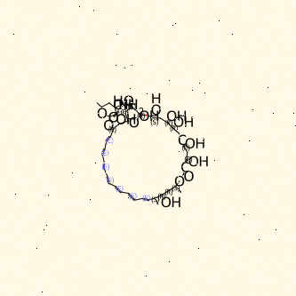 CC1CC(N)C(O)C(O[C@H]2/C=C/C=C/C=C/C=C/C=C/C=C/C=C/[C@H](C)[C@@H](O)[C@@H](C)[C@H](C)OC(=O)C[C@H](O)C[C@H](O)CC[C@@H](O)[C@H](O)C[C@H](O)C[C@]3(O)C[C@H](O)[C@@H](C(=O)O)C(C2)O3)O1